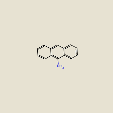 Nc1c2ccccc2cc2ccccc12